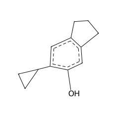 Oc1cc2c(cc1C1CC1)CCC2